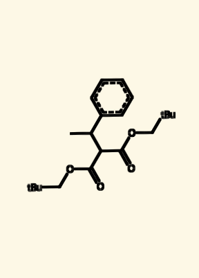 CC(c1ccccc1)C(C(=O)OCC(C)(C)C)C(=O)OCC(C)(C)C